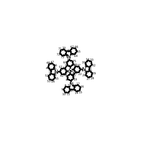 O=S12(c3ccc(-n4c5ccccc5c5ccccc54)cc3-c3cc(-n4c5ccccc5c5ccccc54)ccc31)c1ccc(-n3c4ccccc4c4ccccc43)cc1-c1cc(-n3c4ccccc4c4ccccc43)ccc12